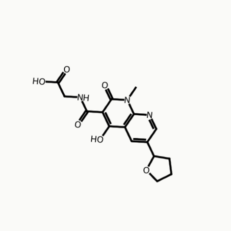 Cn1c(=O)c(C(=O)NCC(=O)O)c(O)c2cc(C3CCCO3)cnc21